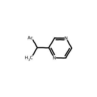 CC(=O)C(C)c1cnccn1